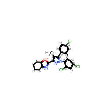 Cc1c(-c2nc3c(o2)CCCC3)nn(-c2ccc(Cl)cc2Cl)c1-c1ccc(Cl)cc1